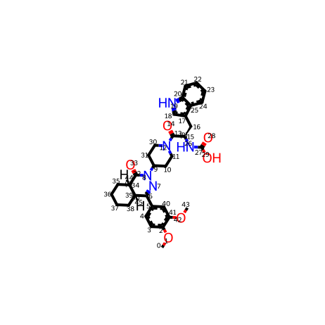 COc1ccc(C2=NN(C3CCN(C(=O)[C@@H](Cc4c[nH]c5ccccc45)NC(=O)O)CC3)C(=O)[C@H]3CCCC[C@@H]23)cc1OC